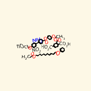 C=CC(=O)OCCCCCCCCCCCOc1ccccc1.CCCCCCCCOc1cc(N)c(-c2ccc(C(=O)Oc3ccc(OC(C)OC(=O)c4cc(C(=O)O)ccc4C(=O)O)cc3)cc2)cc1[N+](=O)[O-]